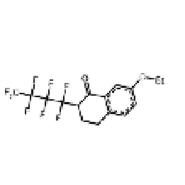 CCOc1ccc2c(c1)C(=O)C(C(F)(F)C(F)(F)C(F)(F)C(F)(F)F)CC2